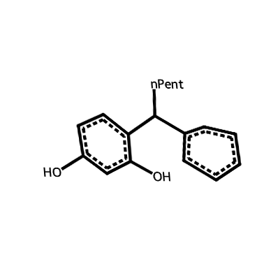 CCCCCC(c1ccccc1)c1ccc(O)cc1O